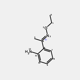 CCO/N=C(\C)c1ccccc1N